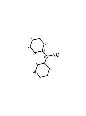 O=NN(C1CCCCC1)C1CCCCC1